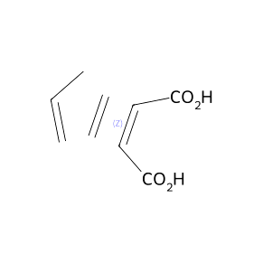 C=C.C=CC.O=C(O)/C=C\C(=O)O